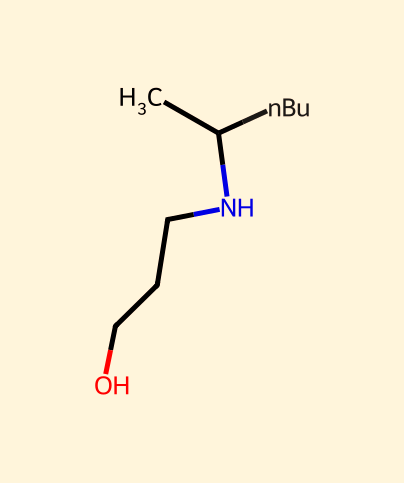 CCCCC(C)NCCCO